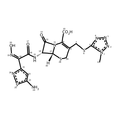 Cn1nnnc1SCC1=C(C(=O)O)N2C(=O)[C@@H](NC(=O)/C(=N\O)c3cc(N)sn3)[C@H]2SC1